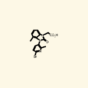 Cc1nc(Br)ccc1-n1c(=O)n(CC(=O)O)c2cccc(C)c21